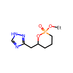 CCOP1(=O)CCCC(Cc2nc[nH]n2)O1